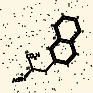 CC(=O)N[C@H](Cc1ccc2ccccc2c1)C(=O)O